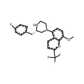 COc1ccc(N2CCN[C@@H](Cc3ccc(F)cc3)C2)c2ccc(C(F)(F)F)nc12